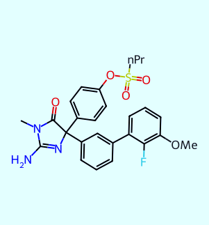 CCCS(=O)(=O)Oc1ccc(C2(c3cccc(-c4cccc(OC)c4F)c3)N=C(N)N(C)C2=O)cc1